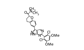 COc1cc(OC)c(Cl)c(-c2ncc3c(-c4ccc5c(c4)CCC(C(=O)N(C)C)O5)n[nH]c3n2)c1Cl